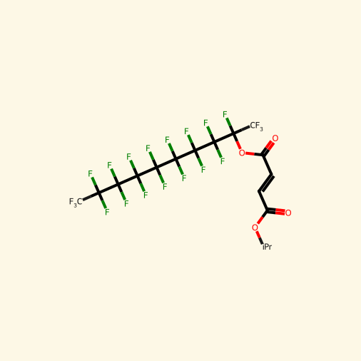 CC(C)OC(=O)C=CC(=O)OC(F)(C(F)(F)F)C(F)(F)C(F)(F)C(F)(F)C(F)(F)C(F)(F)C(F)(F)C(F)(F)C(F)(F)F